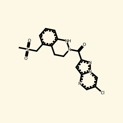 CS(=O)(=O)Cc1cccc2c1CCN(C(=O)c1cc3ncc(Cl)cn3n1)N2